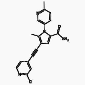 Cc1ccc(-n2c(C(N)=O)cc(C#Cc3ccnc(Cl)c3)c2C)cn1